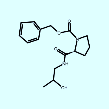 CC(O)CNC(=O)[C@@H]1CCCN1C(=O)OCc1ccccc1